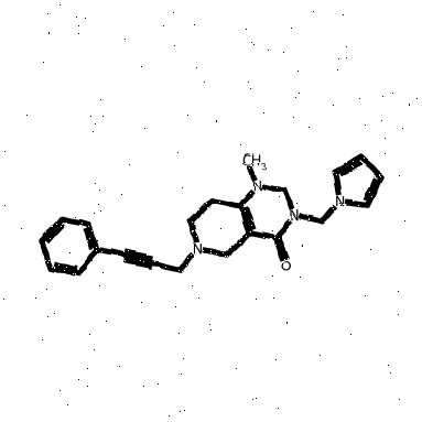 CN1CN(Cn2cccc2)C(=O)C2=C1CCN(CC#Cc1ccccc1)C2